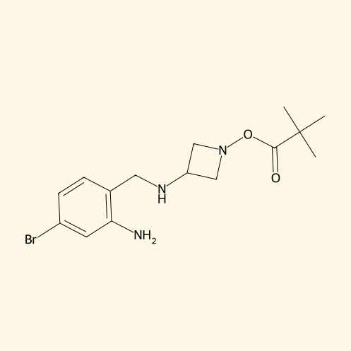 CC(C)(C)C(=O)ON1CC(NCc2ccc(Br)cc2N)C1